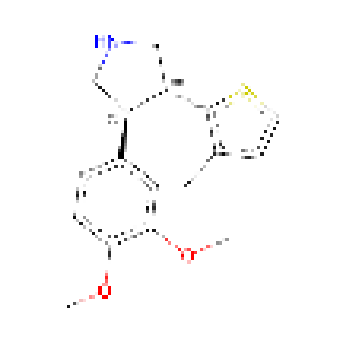 COc1ccc([C@H]2CNC[C@@H]2c2sccc2C)cc1OC